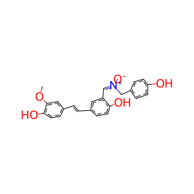 COc1cc(/C=C/c2ccc(O)c(/C=[N+](/[O-])Cc3ccc(O)cc3)c2)ccc1O